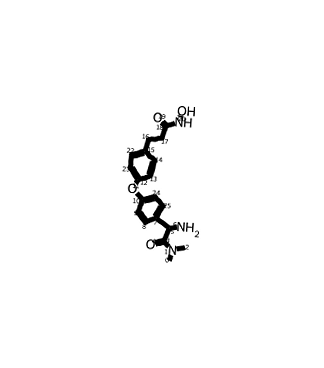 CN(C)C(=O)C(N)c1ccc(Oc2ccc(CCC(=O)NO)cc2)cc1